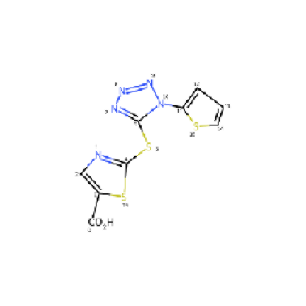 O=C(O)c1cnc(Sc2nnnn2-c2cccs2)s1